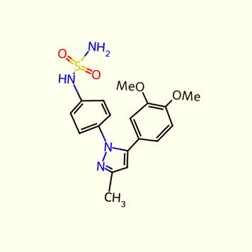 COc1ccc(-c2cc(C)nn2-c2ccc(NS(N)(=O)=O)cc2)cc1OC